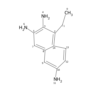 C[CH]c1c(N)c(N)cc2cc(N)ccc12